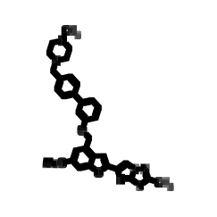 COc1cc(COc2cccc(-c3ccc(CN4CCN(C)CC4)cc3)c2)c2cc(-c3cn4nc(C)sc4n3)oc2c1